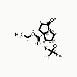 CCOC(=O)[C@]12CCC(=O)N1C[C@H](OC(F)(F)F)C2